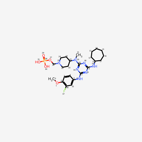 COc1ccc(Nc2nc(NC3CCCCCC3)nc(N(C)C3CCN(COP(=O)(O)O)CC3)n2)cc1F